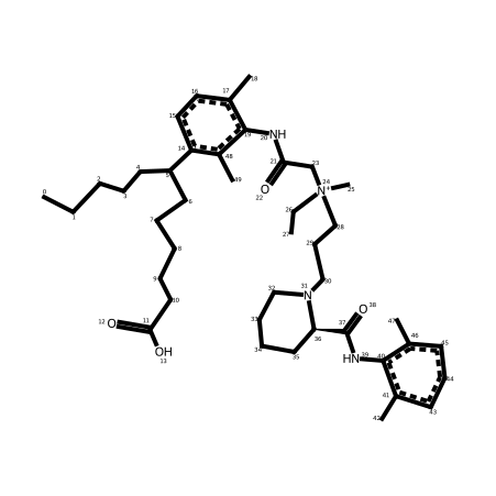 CCCCCC(CCCCCC(=O)O)c1ccc(C)c(NC(=O)C[N+](C)(CC)CCCN2CCCC[C@@H]2C(=O)Nc2c(C)cccc2C)c1C